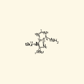 CC(C)(C)c1nc2c(N)ncnc2n1C(C)(C)C